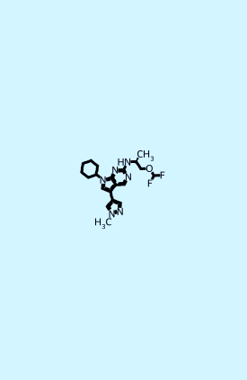 C[C@@H](COC(F)F)Nc1ncc2c(-c3cnn(C)c3)cn(C3CCCCC3)c2n1